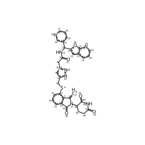 C=C1c2c(SCc3cn(CC(=O)NC(c4cccnc4)c4cc5cccnc5o4)nn3)cccc2C(=O)N1C1CCC(=O)NC1=O